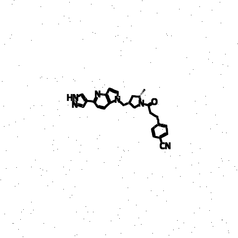 C[C@H]1CC(Cn2ccc3nc(-c4cn[nH]c4)ccc32)CN1C(=O)CCc1ccc(C#N)cc1